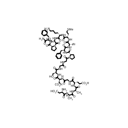 CSCC[C@H](NC(=O)[C@@H](NC(=O)[C@H](Cc1ccccc1)NC(=O)[C@@H]1CCCN1C(=O)CNC(=O)CNC(=O)[C@H](CO)NC(=O)[C@H](CC(=O)O)NC(=O)CNC(=O)[C@H](CCC(=O)O)NC(=O)[C@H](C)NC(=O)[C@H](C)NC(=O)[C@@H](N)CC(=O)O)C(C)C)C(=O)N[C@@H](CCCCN)C(=O)N[C@@H](CO)C(=O)N1CCC[C@H]1C(=O)N[C@@H](Cc1ccccc1)C(N)=O